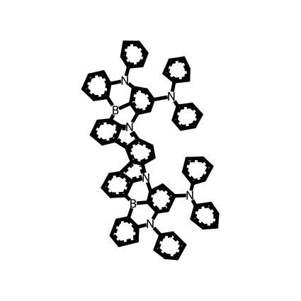 c1ccc(N(c2ccccc2)c2cc3c4c(c2)-n2c5ccc6c(c7cccc8c7n6-c6cc(N(c7ccccc7)c7ccccc7)cc7c6B8c6ccccc6N7c6ccccc6)c5c5cccc(c52)B4c2ccccc2N3c2ccccc2)cc1